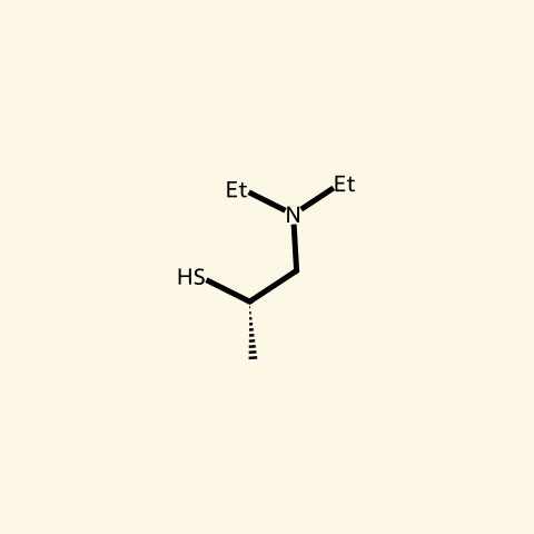 CCN(CC)C[C@H](C)S